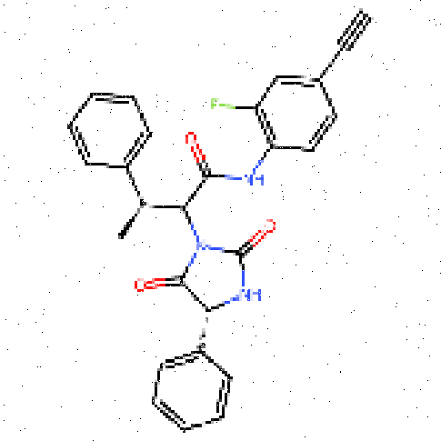 C#Cc1ccc(NC(=O)C([C@@H](C)c2ccccc2)N2C(=O)N[C@H](c3ccccc3)C2=O)c(F)c1